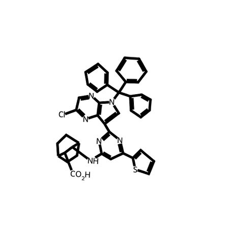 O=C(O)C1C2CCC(CC2)C1Nc1cc(-c2cccs2)nc(-c2cn(C(c3ccccc3)(c3ccccc3)c3ccccc3)c3ncc(Cl)nc23)n1